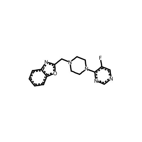 Fc1cncnc1N1CCN(Cc2nc3ccccc3o2)CC1